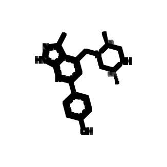 Cc1n[nH]c2nc(-c3ccc(O)cc3)cc(CN3C[C@@H](C)NC[C@@H]3C)c12